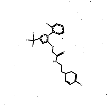 O=C(COc1cc(C(F)(F)F)nn1-c1ccccc1Cl)NCCC1C=CC(Cl)=CC1